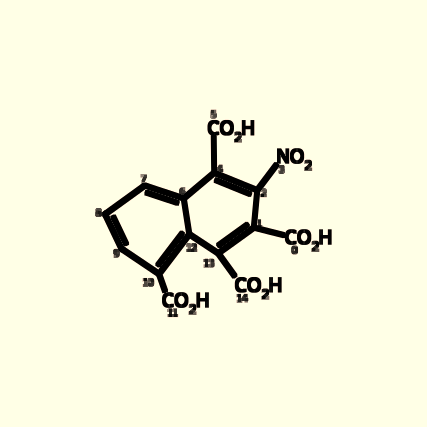 O=C(O)c1c([N+](=O)[O-])c(C(=O)O)c2cccc(C(=O)O)c2c1C(=O)O